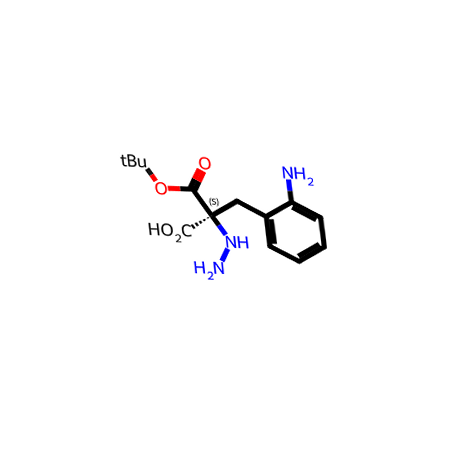 CC(C)(C)OC(=O)[C@@](Cc1ccccc1N)(NN)C(=O)O